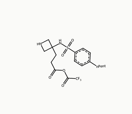 CCCCCc1ccc(S(=O)(=O)NC2(CCC(=O)OC(=O)C(F)(F)F)CNC2)cc1